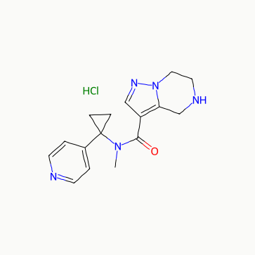 CN(C(=O)c1cnn2c1CNCC2)C1(c2ccncc2)CC1.Cl